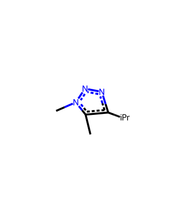 Cc1c(C(C)C)nnn1C